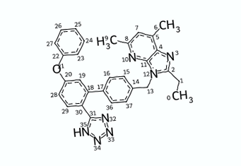 CCc1nc2c(C)cc(C)nc2n1Cc1ccc(-c2cc(Oc3ccccc3)ccc2-c2nnn[nH]2)cc1